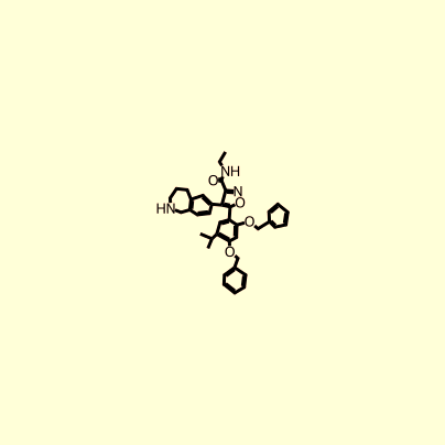 CCNC(=O)c1noc(-c2cc(C(C)C)c(OCc3ccccc3)cc2OCc2ccccc2)c1-c1ccc2c(c1)CCCNC2